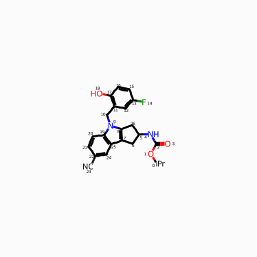 CC(C)OC(=O)NC1Cc2c(n(Cc3cc(F)ccc3O)c3ccc(C#N)cc23)C1